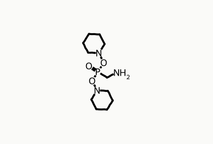 NCP(=O)(ON1CCCCC1)ON1CCCCC1